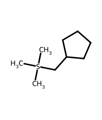 CS(C)(C)CC1CCCC1